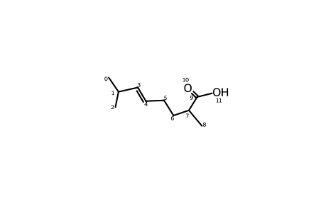 CC(C)C=CCCC(C)C(=O)O